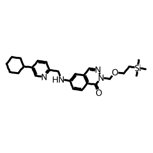 C[Si](C)(C)CCOCn1ncc2cc(NCc3ccc(C4CCCCC4)cn3)ccc2c1=O